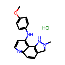 COc1ccc(Nc2ccnc3ccc4c(c23)NN(C)C4)cc1.Cl